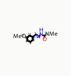 CNC(=O)N/N=C/c1cccc(OC)c1